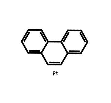 [Pt].c1ccc2c(c1)ccc1ccccc12